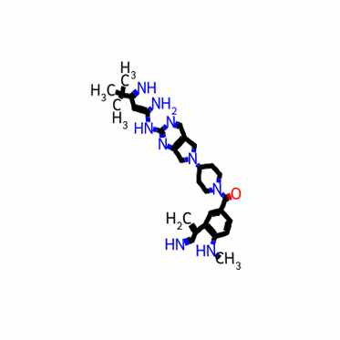 C=C(C=N)c1cc(C(=O)N2CCC(N3Cc4cnc(N/C(N)=C/C(=N)C(C)(C)C)nc4C3)CC2)ccc1NC